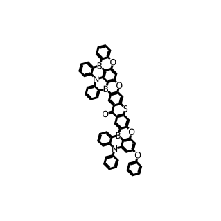 O=c1c2cc3c(cc2sc2cc4c(cc12)B1c2ccccc2N2c5ccccc5B5c6ccccc6Oc6cc(c1c2c65)O4)Oc1cc(Oc2ccccc2)cc2c1B3c1ccccc1N2c1ccccc1